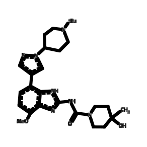 COc1ccc(-c2cnn(C3CCN(C(C)(C)C)CC3)c2)c2[nH]c(NC(=O)N3CCC(C)(O)CC3)nc12